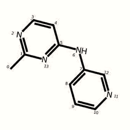 Cc1n[c]cc(Nc2cccnc2)n1